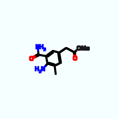 COC(=O)Cc1cc(C)c(N)c(C(N)=O)c1